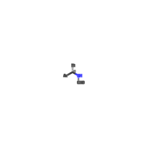 CC[C@H](NC=O)C(C)=O